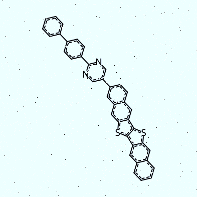 c1ccc(-c2ccc(-c3ncc(-c4ccc5cc6c(cc5c4)sc4c5cc7ccccc7cc5sc64)cn3)cc2)cc1